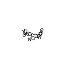 COc1ccc2ncc(Cl)c(CCCC3(CC#N)CCN(C(=O)OC(C)(C)C)CC3)c2c1